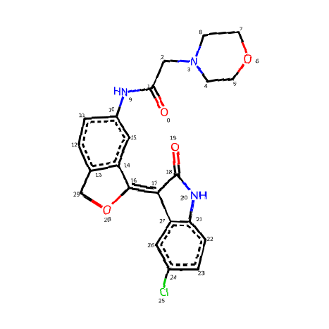 O=C(CN1CCOCC1)Nc1ccc2c(c1)C(=C1C(=O)Nc3ccc(Cl)cc31)OC2